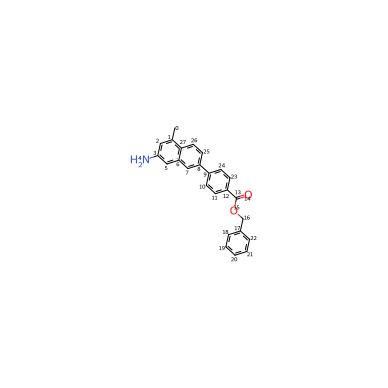 Cc1cc(N)cc2cc(-c3ccc(C(=O)OCc4ccccc4)cc3)ccc12